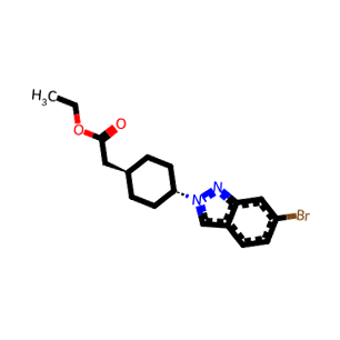 CCOC(=O)C[C@H]1CC[C@H](n2cc3ccc(Br)cc3n2)CC1